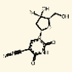 [2H][C@]1(O)C[C@H](n2cc(C#P=S)c(=O)[nH]c2=O)O[C@@H]1CO